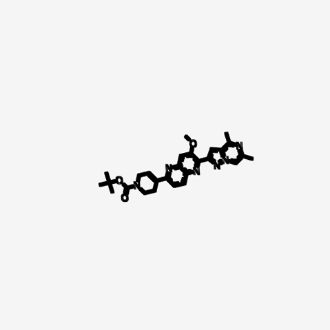 COc1cc2nc(C3=CCN(C(=O)OC(C)(C)C)CC3)ccc2nc1-c1cc2c(C)nc(C)cn2n1